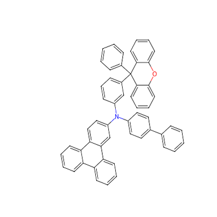 c1ccc(-c2ccc(N(c3cccc(C4(c5ccccc5)c5ccccc5Oc5ccccc54)c3)c3ccc4c5ccccc5c5ccccc5c4c3)cc2)cc1